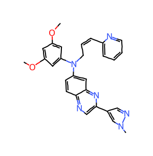 COc1cc(OC)cc(N(C/C=C\c2ccccn2)c2ccc3ncc(-c4cnn(C)c4)nc3c2)c1